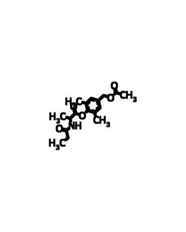 CCC(=O)NC(C)C(=O)Oc1c(C)cc(COC(C)=O)cc1C